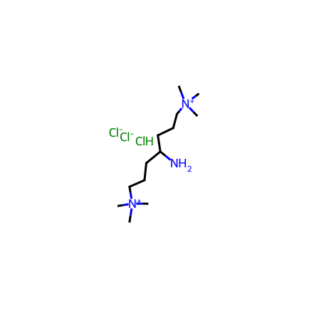 C[N+](C)(C)CCCC(N)CCC[N+](C)(C)C.Cl.[Cl-].[Cl-]